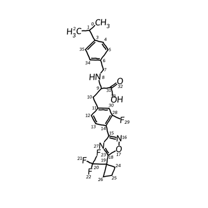 CC(C)c1ccc(CNC(Cc2ccc(-c3noc(C4(C(F)(F)F)CCC4)n3)c(F)c2)C(=O)O)cc1